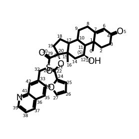 CC12CCC(=O)C=C1CCC1C2[C@@H](O)CC2(C)C1CC[C@]2(OC(=O)c1ccco1)C(=O)SCc1ccc2cccnc2c1